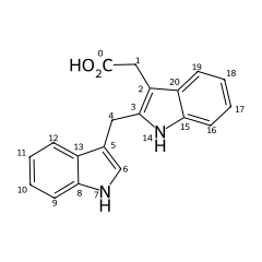 O=C(O)Cc1c(Cc2c[nH]c3ccccc23)[nH]c2ccccc12